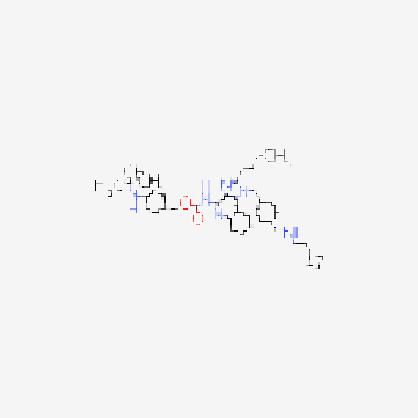 CCCCc1nc2c(NC(=O)OCc3ccc(NC(C)(C)C)cc3)nc3ccccc3c2n1Cc1ccc(CNCCC2CCC2)cc1